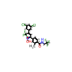 Cc1cc(C(/C=C(/c2cc(Cl)cc(Cl)c2)C(F)(F)F)=NO)ccc1C(=O)NCC(F)(F)F